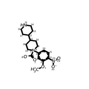 COc1cc([N+]2(C(=O)[O-])CCC(C3CCNCC3)CC2)ccc1[N+](=O)[O-]